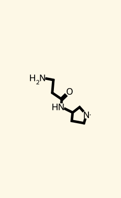 NCCC(=O)NC1CC[N]C1